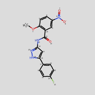 COc1ccc([N+](=O)[O-])cc1C(=O)Nc1cc(-c2ccc(F)cc2)[nH]n1